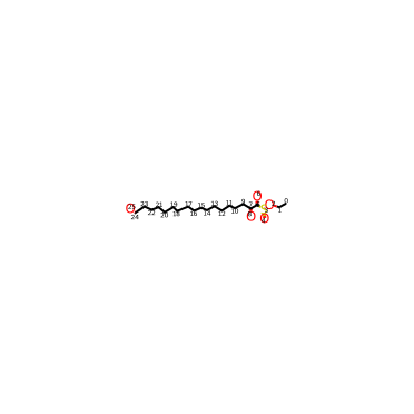 CCOS(=O)C(=O)C(=O)CCCCCCCCCCCCCCCC=O